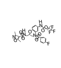 Cc1noc(C)c1S(=O)(=O)NCC1CN(S(=O)(=O)c2ccc(F)cc2)c2cc(NC(=O)OC(C)(C)C(F)(F)F)ccc2O1